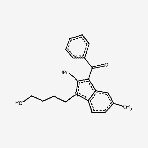 Cc1ccc2c(c1)c(C(=O)c1ccccc1)c(C(C)C)n2CCCCO